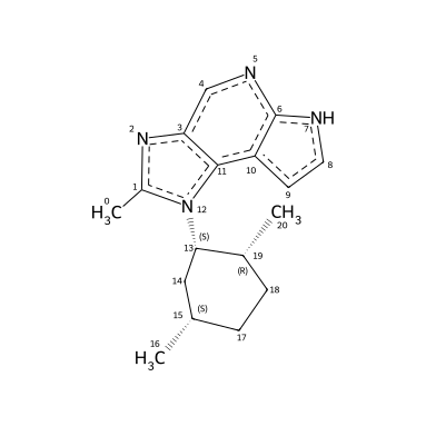 Cc1nc2cnc3[nH]ccc3c2n1[C@H]1C[C@@H](C)CC[C@H]1C